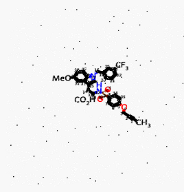 CC#CCOc1ccc(S(=O)(=O)NC(Cc2cn(Cc3cccc(C(F)(F)F)c3)c3ccc(OC)cc23)C(=O)O)cc1